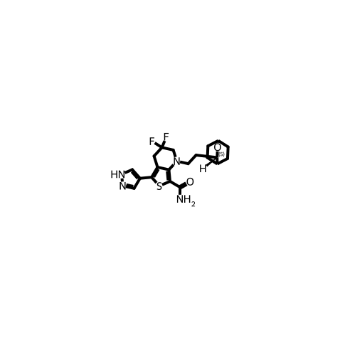 NC(=O)c1sc(-c2cn[nH]c2)c2c1N(CC[C@@H]1OC3CCC1CC3)CC(F)(F)C2